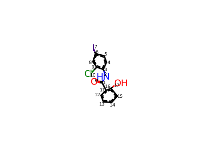 O=C(Nc1ccc(I)cc1Cl)c1ccccc1O